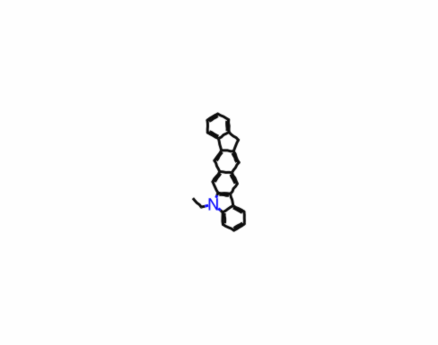 CCn1c2ccccc2c2cc3cc4c(cc3cc21)-c1ccccc1C4